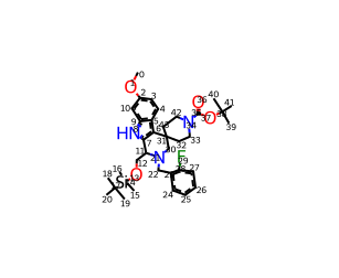 COc1ccc2c3c([nH]c2c1)C(CO[Si](C)(C)C(C)(C)C)N(Cc1ccccc1F)CC31CCN(C(=O)OC(C)(C)C)CC1